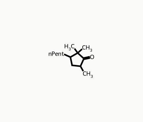 CCCCCC1CC(C)C(=O)C1(C)C